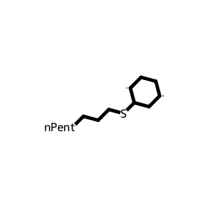 CCCCCCCCSC1[CH]CC[CH]C1